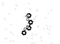 c1ccc(Oc2cccc(-c3cccc(Oc4ccccn4)c3)n2)cc1